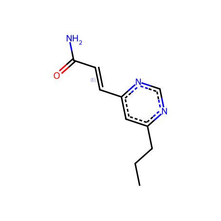 CCCc1cc(/C=C/C(N)=O)ncn1